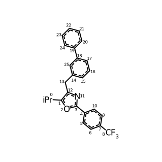 CC(C)c1oc(-c2ccc(C(F)(F)F)cc2)nc1Cc1cccc(-c2ccccc2)c1